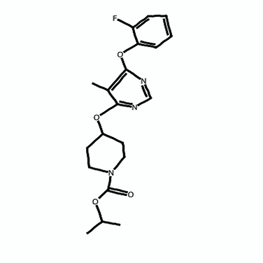 Cc1c(Oc2ccccc2F)ncnc1OC1CCN(C(=O)OC(C)C)CC1